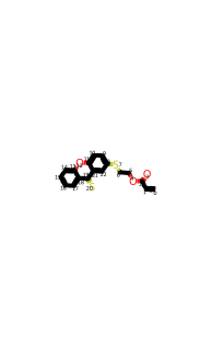 C=CC(=O)OCCSc1ccc2oc3ccccc3c(=S)c2c1